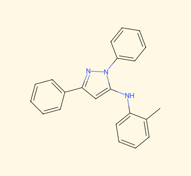 Cc1ccccc1Nc1cc(-c2ccccc2)nn1-c1ccccc1